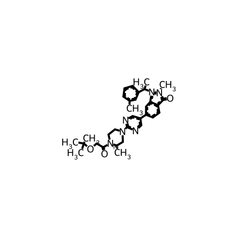 Cc1cccc(C(C)n2c3cc(-c4cnc(N5CCN(C(=O)COC(C)(C)C)[C@H](C)C5)nc4)ccc3c(=O)n2C)c1